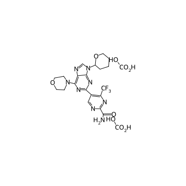 NC(=O)c1ncc(-c2nc(N3CCOCC3)c3ncn(C4CCCCO4)c3n2)c(C(F)(F)F)n1.O=C(O)O.O=C(O)O